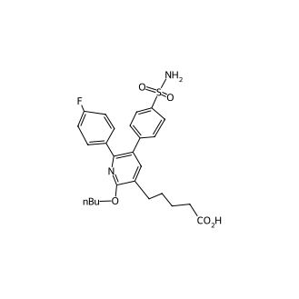 CCCCOc1nc(-c2ccc(F)cc2)c(-c2ccc(S(N)(=O)=O)cc2)cc1CCCCC(=O)O